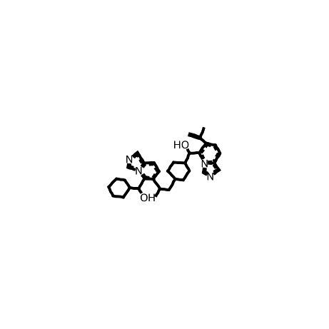 C=C(C)c1ccc2cncn2c1C(O)C1CCC(CC(C)c2ccc3cncn3c2C(O)C2CCCCC2)CC1